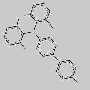 CCc1cccc(C)c1N(c1ccc(-c2ccc(N)cc2)cc1)c1c(C)cccc1CC